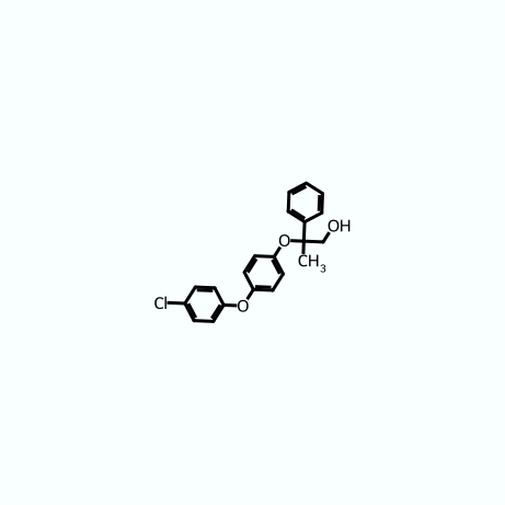 CC(CO)(Oc1ccc(Oc2ccc(Cl)cc2)cc1)c1ccccc1